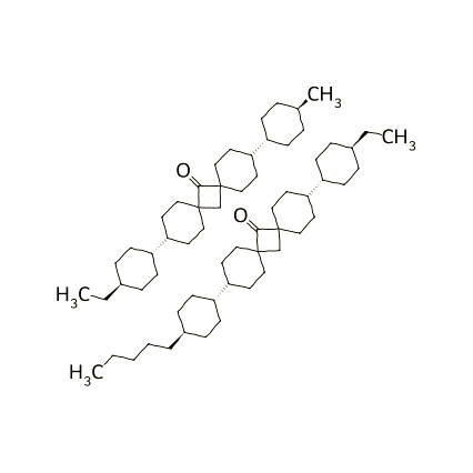 CCCCC[C@H]1CC[C@H](C2CCC3(CC2)CC2(CCC([C@H]4CC[C@H](CC)CC4)CC2)C3=O)CC1.CC[C@H]1CC[C@H](C2CCC3(CC2)CC2(CCC([C@H]4CC[C@H](C)CC4)CC2)C3=O)CC1